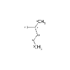 CCCC(C)I